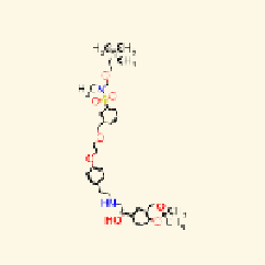 CN(COCC[Si](C)(C)C)S(=O)(=O)c1cccc(COCCOc2ccc(CCNC[C@@H](O)c3ccc4c(c3)COC(C)(C)O4)cc2)c1